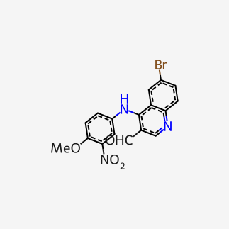 COc1ccc(Nc2c(C=O)cnc3ccc(Br)cc23)cc1[N+](=O)[O-]